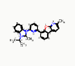 Cc1ccc2c(n1)oc1c(-c3cccc(N4c5ccccc5N(C(C)C)C4C)n3)cccc12